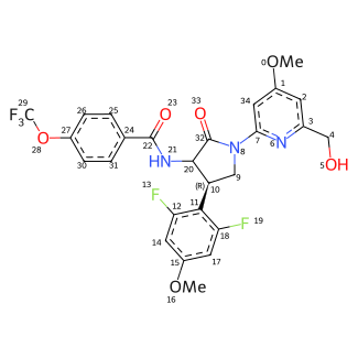 COc1cc(CO)nc(N2C[C@@H](c3c(F)cc(OC)cc3F)C(NC(=O)c3ccc(OC(F)(F)F)cc3)C2=O)c1